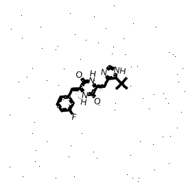 CC(C)(C)c1[nH]cnc1/C=c1\[nH]c(=O)/c(=C/c2cccc(F)c2)[nH]c1=O